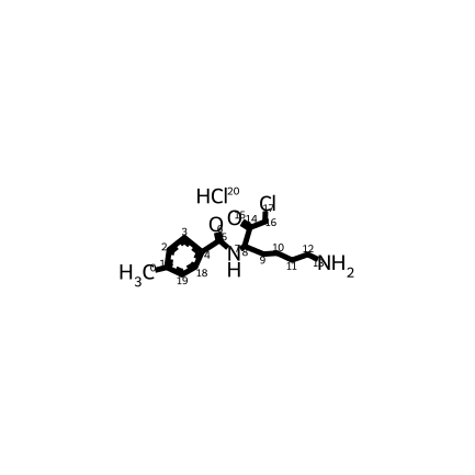 Cc1ccc(C(=O)NC(CCCCN)C(=O)CCl)cc1.Cl